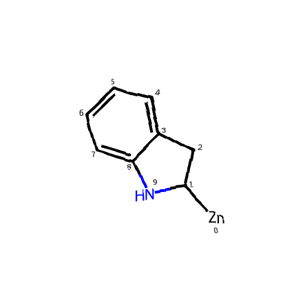 [Zn][CH]1Cc2ccccc2N1